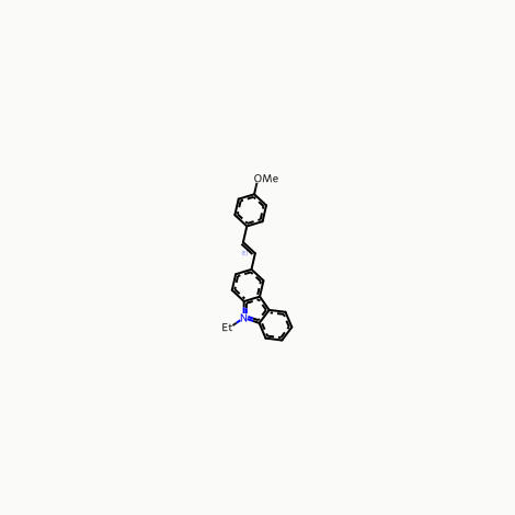 CCn1c2ccccc2c2cc(/C=C/c3ccc(OC)cc3)ccc21